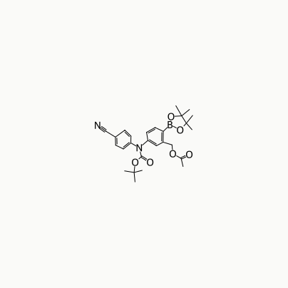 CC(=O)OCc1cc(N(C(=O)OC(C)(C)C)c2ccc(C#N)cc2)ccc1B1OC(C)(C)C(C)(C)O1